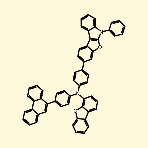 c1ccc(-n2c3ccccc3c3c4ccc(-c5ccc(N(c6ccc(-c7cc8ccccc8c8ccccc78)cc6)c6cccc7c6oc6ccccc67)cc5)cc4oc32)cc1